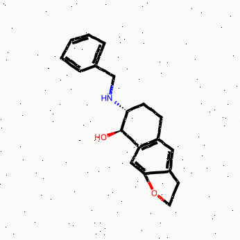 O[C@@H]1c2cc3c(cc2CC[C@H]1NCc1ccccc1)CCO3